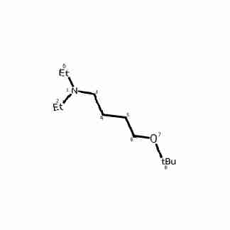 CCN(CC)CCCCOC(C)(C)C